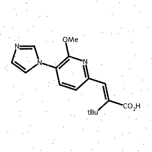 COc1nc(C=C(C(=O)O)C(C)(C)C)ccc1-n1ccnc1